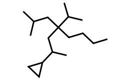 CCCCC(CC(C)C)(CC(C)C1CC1)C(C)C